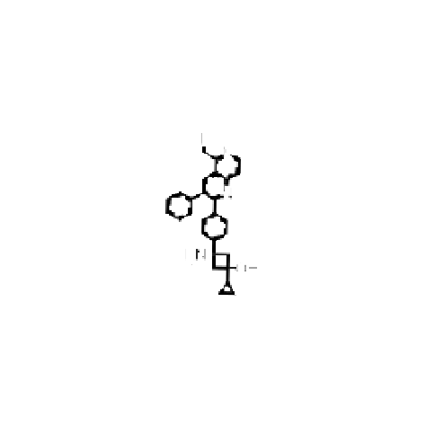 N[C@]1(c2ccc(-c3nc4ccnc(CF)c4cc3-c3ccccc3)cc2)C[C@](O)(C2CC2)C1